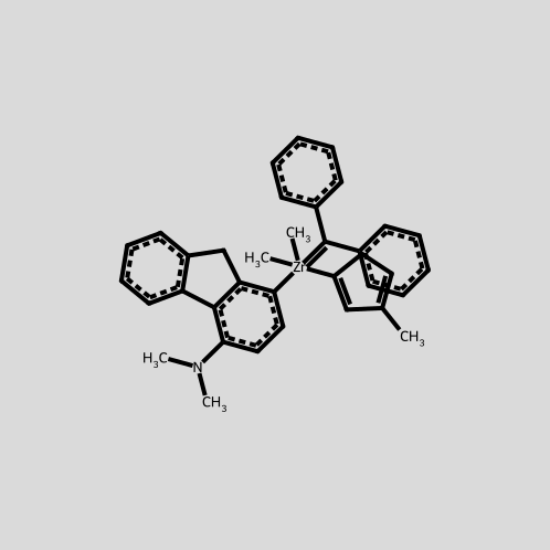 CC1=CC[C]([Zr]([CH3])([CH3])(=[C](c2ccccc2)c2ccccc2)[c]2ccc(N(C)C)c3c2Cc2ccccc2-3)=C1